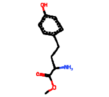 COC(=O)C(N)CCc1ccc(O)cc1